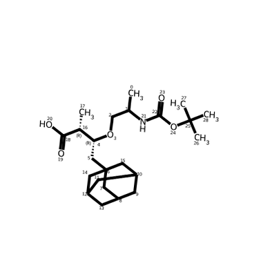 CC(CO[C@H](CC12CC3CC(CC(C3)C1)C2)[C@@H](C)C(=O)O)NC(=O)OC(C)(C)C